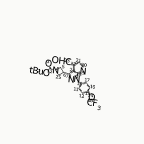 CC(C)(C)OC(=O)N1CC(c2nn(-c3ccc(OC(F)(F)F)cc3)c3nccc(C=O)c23)C1